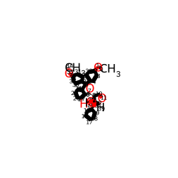 COc1ccc(C(OC[C@@]23CO[C@@H]([C@H](c4ccccc4)O2)[C@@H]3O)(c2ccccc2)c2ccc(OC)cc2)cc1